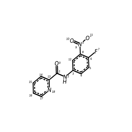 O=C(Nc1ccc(F)c([N+](=O)[O-])c1)c1ccccn1